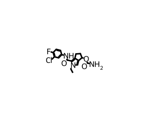 CCn1cc2c(c1C(=O)Nc1ccc(F)c(Cl)c1)CCC2OC(N)=O